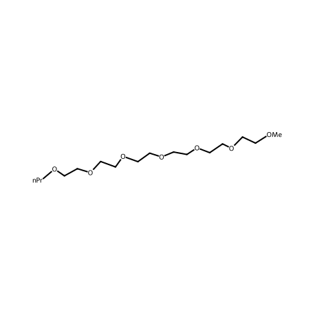 CCCOCCOCCOCCOCCOCCOCCOC